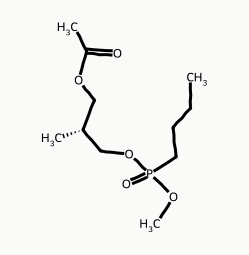 CCCCP(=O)(OC)OC[C@H](C)COC(C)=O